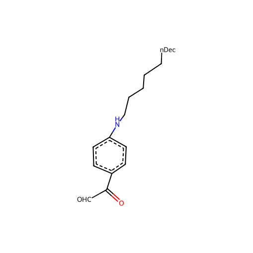 CCCCCCCCCCCCCCCNc1ccc(C(=O)C=O)cc1